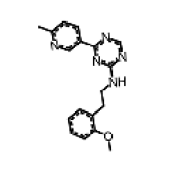 COc1ccccc1CCNc1ncnc(-c2ccc(C)nc2)n1